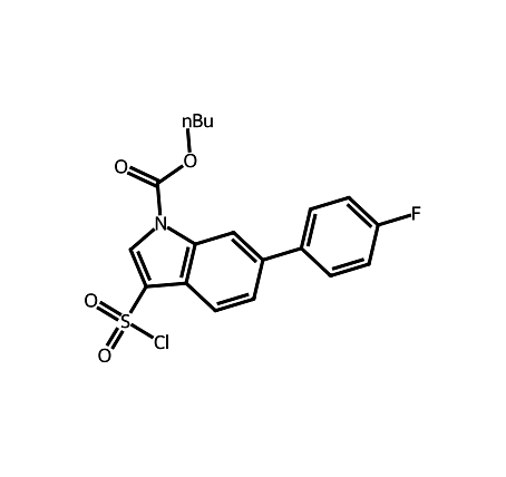 CCCCOC(=O)n1cc(S(=O)(=O)Cl)c2ccc(-c3ccc(F)cc3)cc21